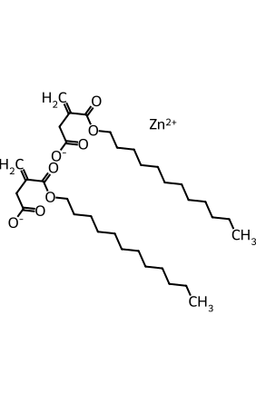 C=C(CC(=O)[O-])C(=O)OCCCCCCCCCCCC.C=C(CC(=O)[O-])C(=O)OCCCCCCCCCCCC.[Zn+2]